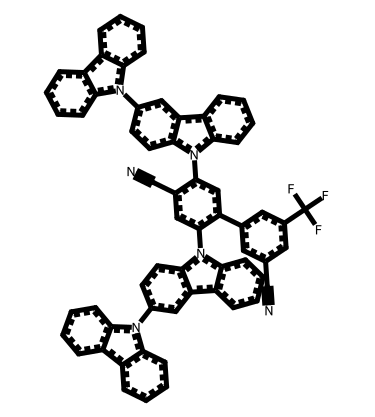 N#Cc1cc(-c2cc(-n3c4ccccc4c4cc(-n5c6ccccc6c6ccccc65)ccc43)c(C#N)cc2-n2c3ccccc3c3cc(-n4c5ccccc5c5ccccc54)ccc32)cc(C(F)(F)F)c1